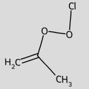 C=C(C)OOCl